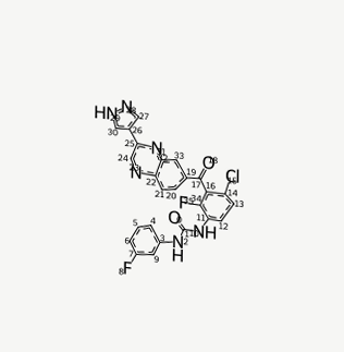 O=C(Nc1cccc(F)c1)Nc1ccc(Cl)c(C(=O)c2ccc3ncc(-c4cn[nH]c4)nc3c2)c1F